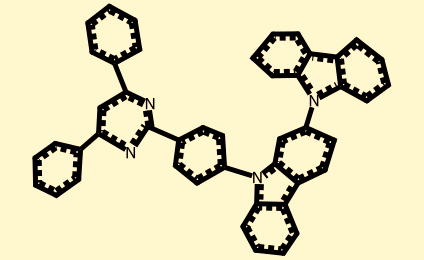 c1ccc(-c2cc(-c3ccccc3)nc(-c3ccc(-n4c5ccccc5c5ccc(-n6c7ccccc7c7ccccc76)cc54)cc3)n2)cc1